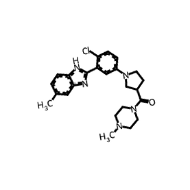 Cc1ccc2[nH]c(-c3cc(N4CCC(C(=O)N5CCN(C)CC5)C4)ccc3Cl)nc2c1